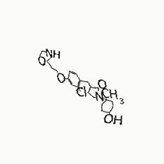 CC1(N2CCC(Cc3ccc(OCCC4CNCCO4)cc3Cl)C2=O)CCC(O)CC1